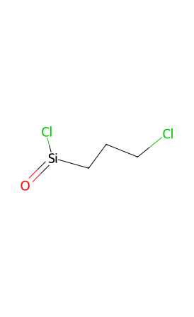 O=[Si](Cl)CCCCl